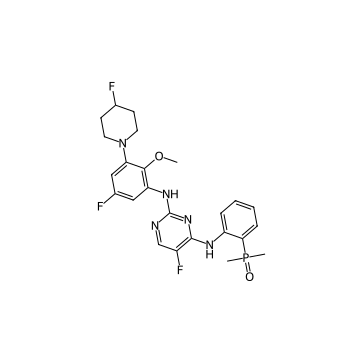 COc1c(Nc2ncc(F)c(Nc3ccccc3P(C)(C)=O)n2)cc(F)cc1N1CCC(F)CC1